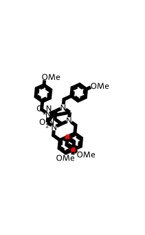 COc1ccc(CN2C3C([N+](=O)[O-])C4N(Cc5ccc(OC)cc5)C2C([N+](=O)[O-])C(N3Cc2ccc(OC)cc2)N4Cc2ccc(OC)cc2)cc1